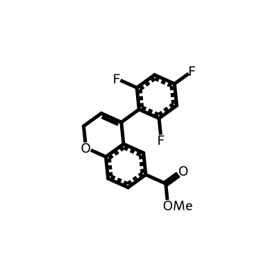 COC(=O)c1ccc2c(c1)C(c1c(F)cc(F)cc1F)=CCO2